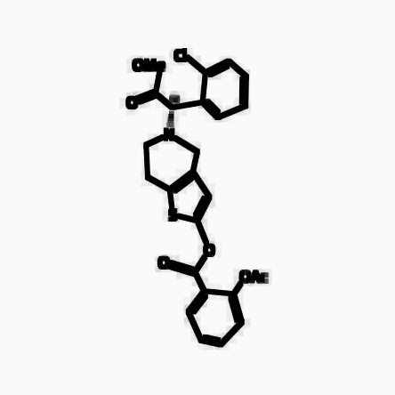 COC(=O)[C@H](c1ccccc1Cl)N1CCc2sc(OC(=O)c3ccccc3OC(C)=O)cc2C1